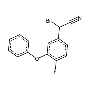 N#CC(Br)c1ccc(F)c(Oc2ccccc2)c1